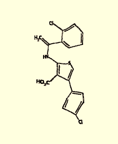 C=C(Nc1scc(-c2ccc(Cl)cc2)c1C(=O)O)c1ccccc1Cl